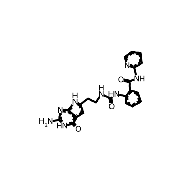 Nc1nc2[nH]c(CCNC(=O)Nc3ccccc3C(=O)Nc3ccccn3)cc2c(=O)[nH]1